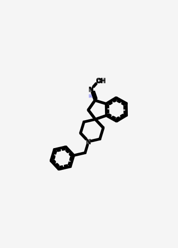 O/N=C1/CC2(CCN(Cc3ccccc3)CC2)c2ccccc21